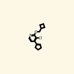 Clc1c(C2=CCCC2)ccnc1OCC1CCC1